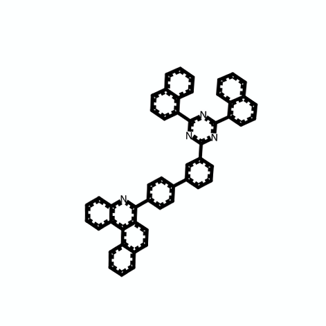 c1cc(-c2ccc(-c3nc4ccccc4c4c3ccc3ccccc34)cc2)cc(-c2nc(-c3cccc4ccccc34)nc(-c3cccc4ccccc34)n2)c1